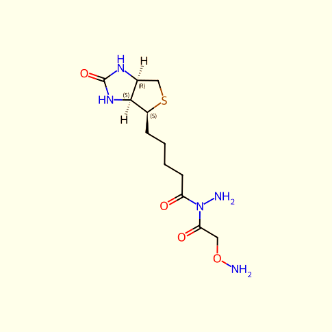 NOCC(=O)N(N)C(=O)CCCC[C@@H]1SC[C@@H]2NC(=O)N[C@@H]21